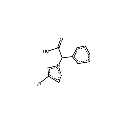 Nc1cnn(C(C(=O)O)c2ccccc2)c1